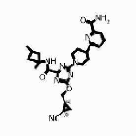 CC1CC(C)(NC(=O)c2nc(OC[C@H]3C[C@H]3C#N)nc(N3CCC(c4cccc(C(N)=O)n4)CC3)n2)C1